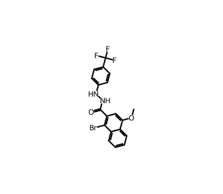 COc1cc(C(=O)NNc2ccc(C(F)(F)F)cc2)c(Br)c2ccccc12